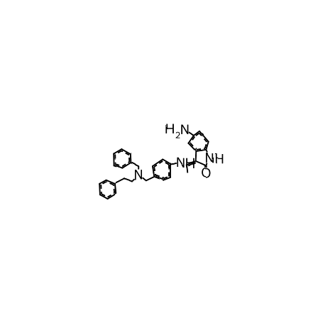 CC(Nc1ccc(CN(CCc2ccccc2)Cc2ccccc2)cc1)=C1C(=O)Nc2ccc(N)cc21